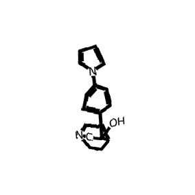 OC1(c2ccc(-n3cccc3)cc2)CN2CCC1CC2